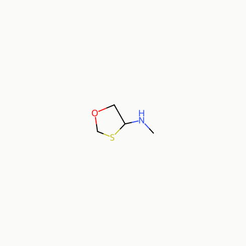 CNC1COCS1